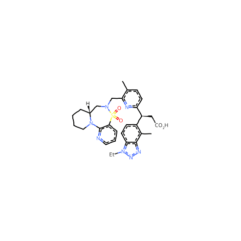 CCn1nnc2c(C)c([C@H](CC(=O)O)c3ccc(C)c(CN4C[C@H]5CCCCN5c5ncccc5S4(=O)=O)n3)ccc21